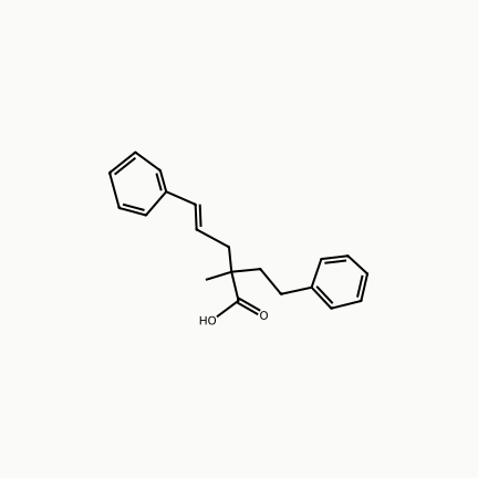 CC(CC=Cc1ccccc1)(CCc1ccccc1)C(=O)O